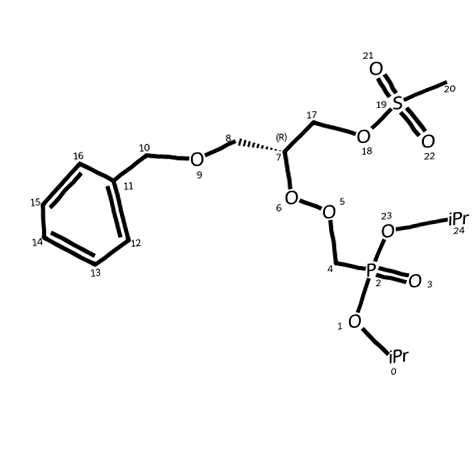 CC(C)OP(=O)(COO[C@H](COCc1ccccc1)COS(C)(=O)=O)OC(C)C